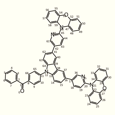 O=C(c1ccccc1)c1ccc(-n2c3ccc(-c4ccc(N5c6ccccc6Oc6ccccc65)nc4)cc3c3cc(-c4ccc(N5c6ccccc6Oc6ccccc65)nc4)ccc32)cc1